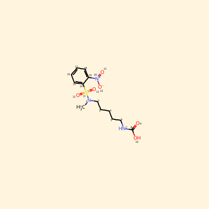 CN(CCCCCNC(=O)O)S(=O)(=O)c1ccccc1[N+](=O)[O-]